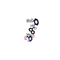 CNC(=O)c1cc(Oc2ccc3c(C(=O)Nc4ccccc4OC)cccc3c2)ccn1